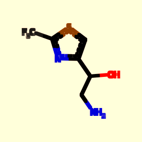 NCC(O)c1csc(C(F)(F)F)n1